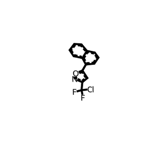 FC(F)(Cl)c1cc(-c2cccc3ccccc23)on1